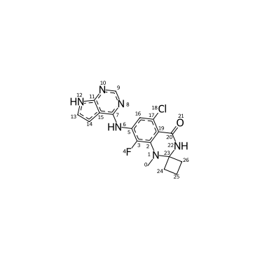 CN1c2c(F)c(Nc3ncnc4[nH]ccc34)cc(Cl)c2C(=O)NC12CCC2